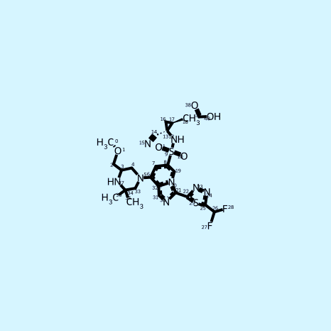 COCC1CN(c2cc(S(=O)(=O)N[C@@]3(C#N)C[C@H]3C)cn3c(-c4nnc(C(F)F)s4)ncc23)CC(C)(C)N1.O=CO